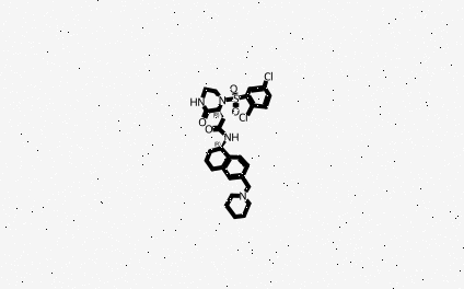 O=C(C[C@@H]1C(=O)NCCN1S(=O)(=O)c1cc(Cl)ccc1Cl)N[C@@H]1CCCc2cc(CN3CCCCC3)ccc21